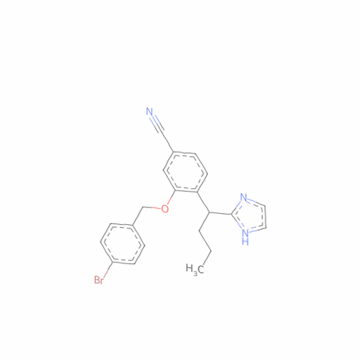 CCCC(c1ncc[nH]1)c1ccc(C#N)cc1OCc1ccc(Br)cc1